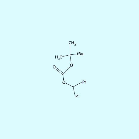 CC(C)C(OC(=O)OC(C)(C)C(C)(C)C)C(C)C